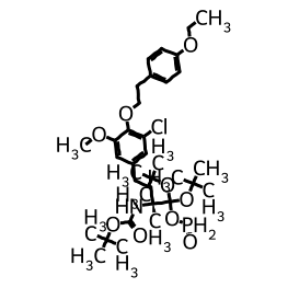 CCOc1ccc(CCOc2c(Cl)cc(CC[C@@](C)(NC(=O)OC(C)(C)C)C(O[PH2]=O)(OC(C)(C)C)OC(C)(C)C)cc2OC)cc1